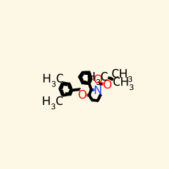 Cc1cc(C)cc(COC2CCCN(C(=O)OC(C)(C)C)C2c2ccccc2)c1